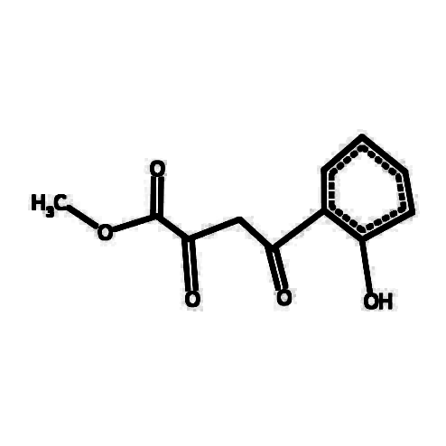 COC(=O)C(=O)CC(=O)c1ccccc1O